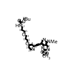 CNc1ncc(C#Cc2cc(OCCCOCCCNC(=O)OC(C)(C)C)ccn2)c2nc(S(C)(=O)=O)ncc12